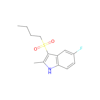 CCCCS(=O)(=O)c1c(C)[nH]c2ccc(F)cc12